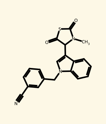 CN1C(=O)SC(=O)C1c1cn(Cc2cccc(C#N)c2)c2ccccc12